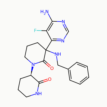 Nc1ncnc(C2(NCc3ccccc3)CCCN([C@@H]3CCCNC3=O)C2=O)c1F